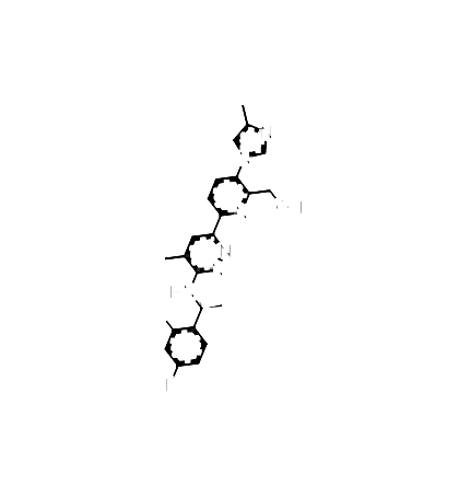 Cc1cn(-c2ccc(-c3cc(C)c(N[C@@H](C)c4ccc(F)cc4F)nn3)nc2CO)cn1